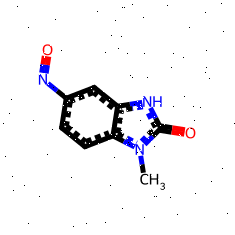 Cn1c(=O)[nH]c2cc(N=O)ccc21